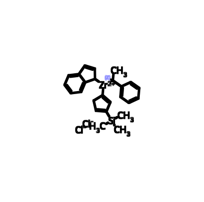 C/[C](c1ccccc1)=[Zr+2](/[C]1=CC([Si](C)(C)C)=CC1)[CH]1C=Cc2ccccc21.[Cl-].[Cl-]